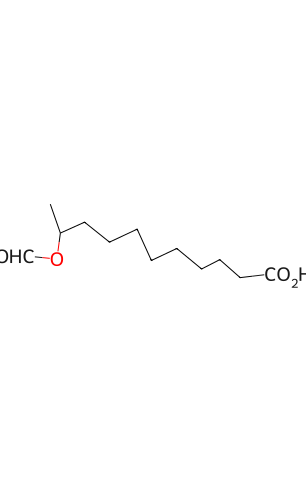 CC(CCCCCCCCC(=O)O)OC=O